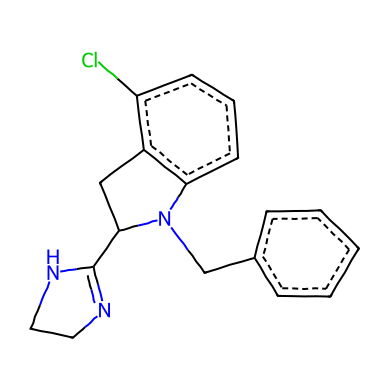 Clc1cccc2c1CC(C1=NCCN1)N2Cc1ccccc1